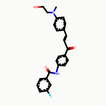 CN(CCO)c1ccc(/C=C/C(=O)c2ccc(NC(=O)c3cccc(F)c3)cc2)cc1